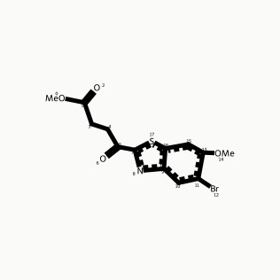 COC(=O)CCC(=O)c1nc2cc(Br)c(OC)cc2s1